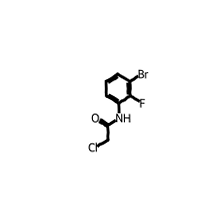 O=C(CCl)Nc1cccc(Br)c1F